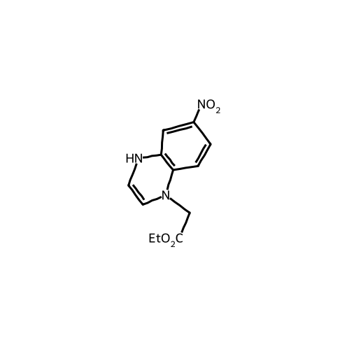 CCOC(=O)CN1C=CNc2cc([N+](=O)[O-])ccc21